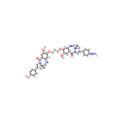 COc1ccc(C2=CN3C(=O)c4cc(OC)c(OCCCOc5cc6c(cc5OC)C(=O)N5C=C(c7ccc(N)cc7)C[C@H]5C=N6)cc4N=C[C@@H]3C2)cc1